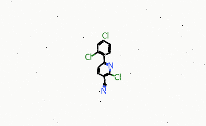 N#Cc1ccc(-c2ccc(Cl)cc2Cl)nc1Cl